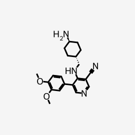 COc1ccc(-c2cncc(C#N)c2NC[C@H]2CC[C@H](N)CC2)cc1OC